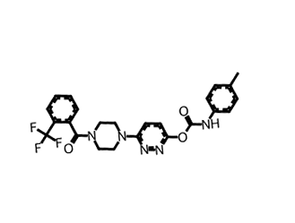 Cc1ccc(NC(=O)Oc2ccc(N3CCN(C(=O)c4ccccc4C(F)(F)F)CC3)nn2)cc1